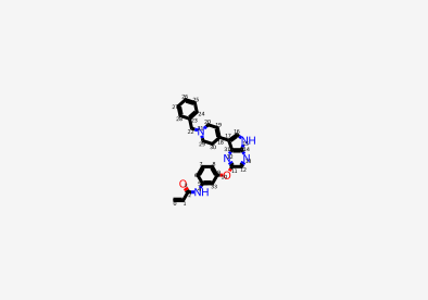 C=CC(=O)Nc1cccc(Oc2cnc3[nH]cc(C4=CCN(Cc5ccccc5)CC4)c3n2)c1